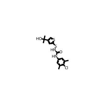 Cc1cc(NC(=O)NSc2cc(C(C)(C)O)cs2)cc(C)c1Cl